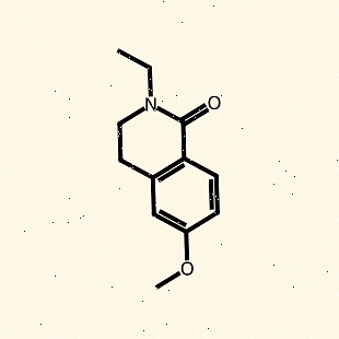 CCN1CCc2cc(OC)ccc2C1=O